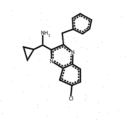 NC(c1nc2cc(Cl)ccc2nc1Cc1ccccc1)C1CC1